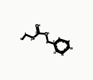 CCSC(=O)OCc1ccccc1